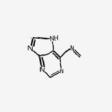 C=Nc1ncnc2n[c][nH]c12